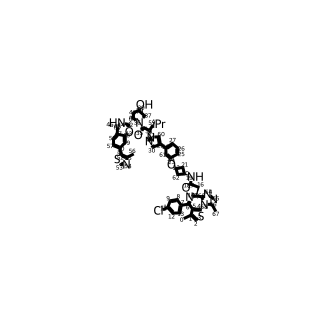 Cc1csc2c1C(c1ccc(Cl)cc1)=N[C@@H](CC(=O)N[C@H]1C[C@H](Oc3cccc(-c4cnn(C(C(=O)N5C[C@H](O)C[C@H]5C(=O)N[C@@H](C)c5ccc(-c6scnc6C)cc5)C(C)C)c4)c3)C1)c1nnc(C)n1-2